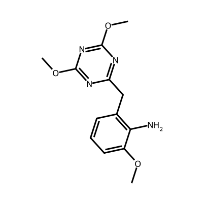 COc1nc(Cc2cccc(OC)c2N)nc(OC)n1